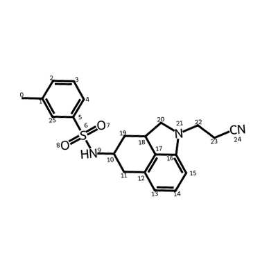 Cc1cccc(S(=O)(=O)NC2Cc3cccc4c3C(C2)CN4CCC#N)c1